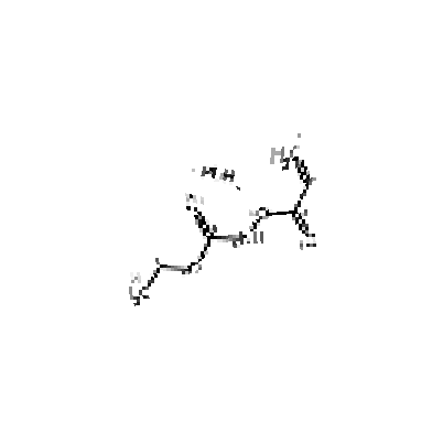 C=CC(=O)ONC(=O)OCC.[PbH2]